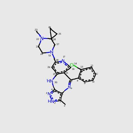 Cc1[nH]nc2c1N=C(c1ccccc1Cl)c1cnc(N3CCN(C)C4(CC4)C3)cc1N2